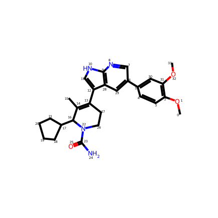 COc1ccc(-c2cnc3[nH]cc(C4=C(C)C(C5CCCC5)N(C(N)=O)CC4)c3c2)cc1OC